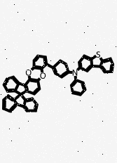 C1=C(c2cccc3c2Oc2ccc4c(c2O3)-c2ccccc2C42c3ccccc3-c3ccccc32)CCC(N(c2ccccc2)c2ccc3sc4ccccc4c3c2)=C1